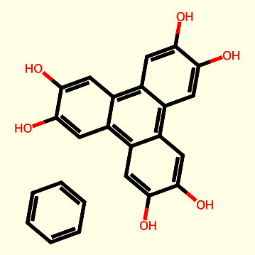 Oc1cc2c3cc(O)c(O)cc3c3cc(O)c(O)cc3c2cc1O.c1ccccc1